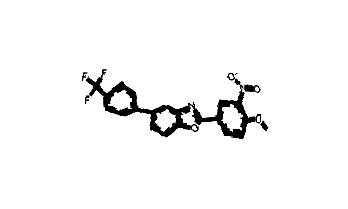 COc1ccc(-c2nc3cc(-c4ccc(C(F)(F)F)cc4)ccc3o2)cc1[N+](=O)[O-]